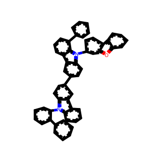 c1ccc(-c2ccccc2-n2c3ccccc3c3cc(-c4ccc5c(c4)c4cccc(-c6ccccc6)c4n5-c4ccc5c(c4)oc4ccccc45)ccc32)cc1